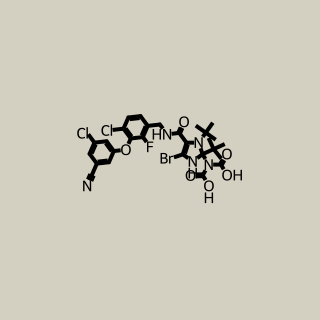 CC(C)(C)N1C(C(=O)NCc2ccc(Cl)c(Oc3cc(Cl)cc(C#N)c3)c2F)=C(Br)NC1(N(C(=O)O)C(=O)O)C(C)(C)C